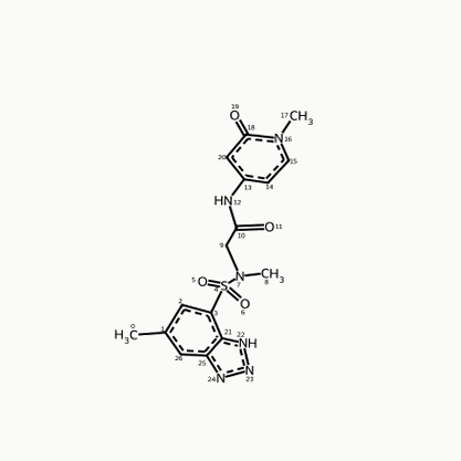 Cc1cc(S(=O)(=O)N(C)CC(=O)Nc2ccn(C)c(=O)c2)c2[nH]nnc2c1